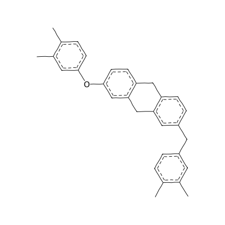 Cc1ccc(Cc2ccc3c(c2)Cc2cc(Oc4ccc(C)c(C)c4)ccc2C3)cc1C